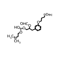 CCCCCCCCCCCCCOc1cccc(CC(COP(O)OCCN(C)C)OC=O)c1